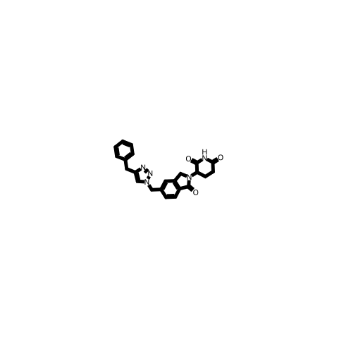 O=C1CCC(N2Cc3cc(Cn4cc(Cc5ccccc5)nn4)ccc3C2=O)C(=O)N1